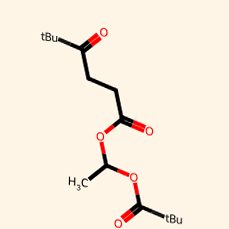 CC(OC(=O)CCC(=O)C(C)(C)C)OC(=O)C(C)(C)C